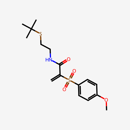 C=C(C(=O)NCCSC(C)(C)C)S(=O)(=O)c1ccc(OC)cc1